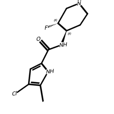 Cc1[nH]c(C(=O)N[C@@H]2CCNC[C@H]2F)cc1Cl